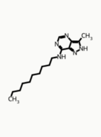 CCCCCCCCCCNc1ncnc2c(C)[nH]nc12